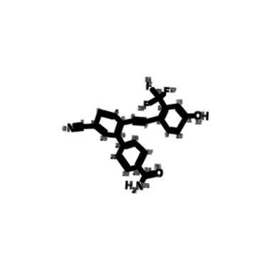 N#Cc1ccc(C#Cc2ccc(O)cc2C(F)(F)F)c(-c2ccc(C(N)=O)cc2)c1